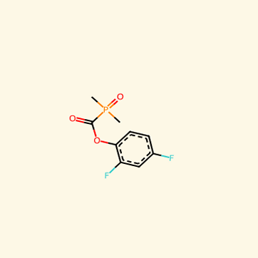 CP(C)(=O)C(=O)Oc1ccc(F)cc1F